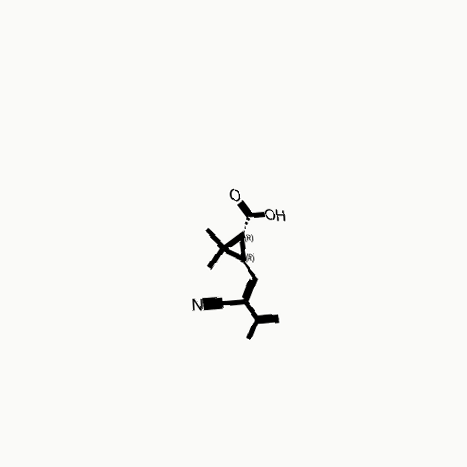 C=C(C)C(C#N)=C[C@@H]1[C@@H](C(=O)O)C1(C)C